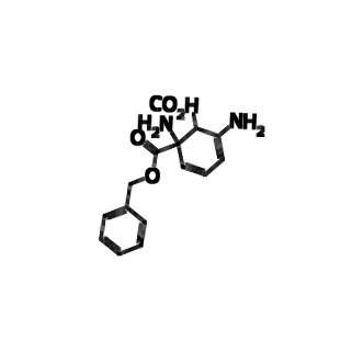 NC1=CC=CC(N)(C(=O)OCc2ccccc2)C1C(=O)O